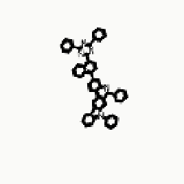 c1ccc(-c2nc(-c3ccccc3)nc(-c3ccc(-c4ccc5c(c4)nc(-c4ccccc4)c4cc6c(cc45)c4ccccc4n6-c4ccccc4)c4ccccc34)n2)cc1